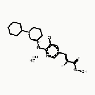 Cl.Cl.O=C(NO)C(F)=Cc1cnc(N[C@@H]2CCCN(C3CCCCC3)C2)c(Cl)c1